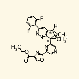 CCOC(=O)c1coc(-c2cncc([C@@]34CC[C@@H](c5cc(-c6c(F)cccc6F)nnc53)C4(C)C)n2)n1